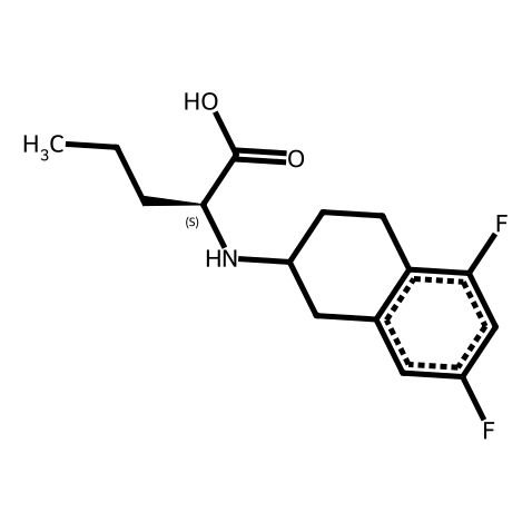 CCC[C@H](NC1CCc2c(F)cc(F)cc2C1)C(=O)O